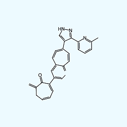 C=C1CC=CC=C(C(/C=C2/C=C=C(c3c[nH]nc3-c3cccc(C)n3)C=CC2=C)=C/C)C1=O